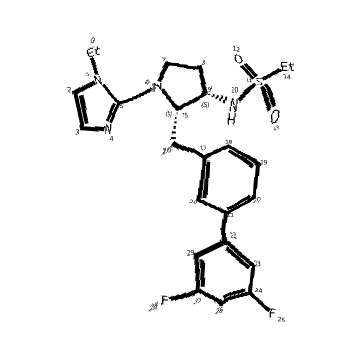 CCn1ccnc1N1CC[C@H](NS(=O)(=O)CC)[C@@H]1Cc1cccc(-c2cc(F)cc(F)c2)c1